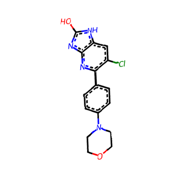 Oc1nc2nc(-c3ccc(N4CCOCC4)cc3)c(Cl)cc2[nH]1